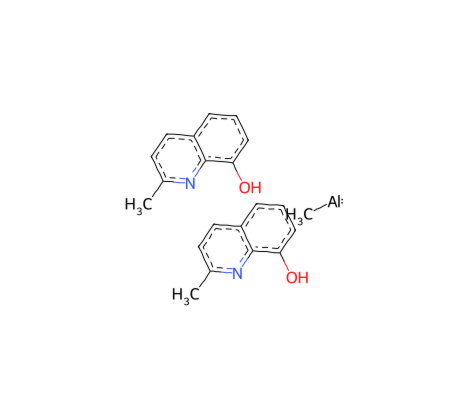 Cc1ccc2cccc(O)c2n1.Cc1ccc2cccc(O)c2n1.[CH3][Al]